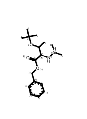 CC(OC(C)(C)C)[C@@H](N[SiH](C)C)C(=O)OCc1ccccc1